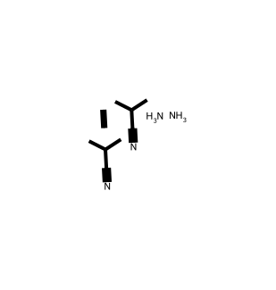 C=C.CC(C)C#N.CC(C)C#N.N.N